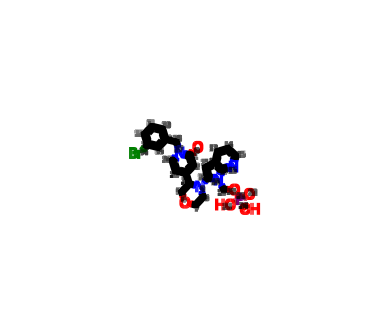 O=c1cc(C2COCCN2c2cc3cccnc3n2COP(=O)(O)O)ccn1Cc1cccc(Br)c1